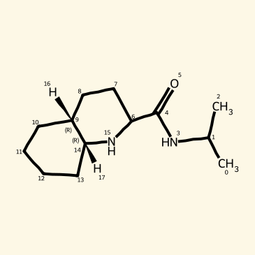 CC(C)NC(=O)C1CC[C@H]2CCCC[C@H]2N1